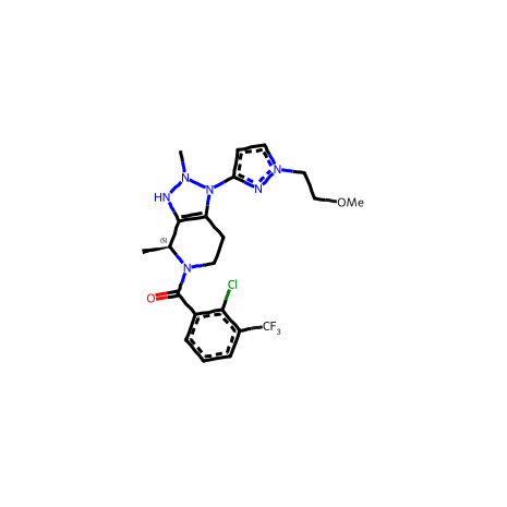 COCCn1ccc(N2C3=C(NN2C)[C@H](C)N(C(=O)c2cccc(C(F)(F)F)c2Cl)CC3)n1